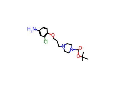 CC(C)(C)OC(=O)N1CCN(CCCOc2ccc(N)cc2Cl)CC1